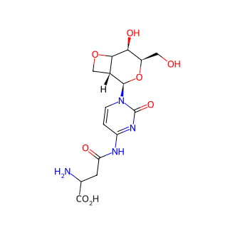 NC(CC(=O)Nc1ccn([C@@H]2O[C@H](CO)[C@H](O)C3OC[C@H]32)c(=O)n1)C(=O)O